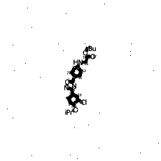 CC(C)Oc1ccc(-c2noc(-c3ccc(NCC(=O)OC(C)(C)C)cc3)n2)cc1Cl